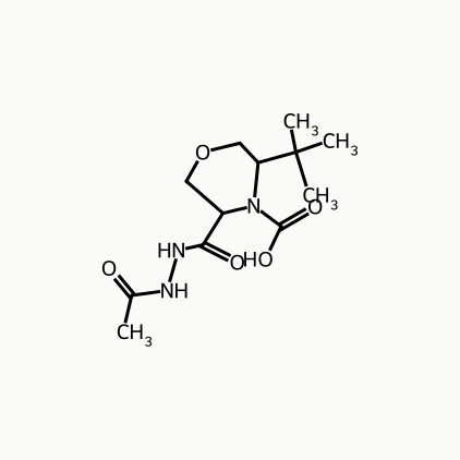 CC(=O)NNC(=O)C1COCC(C(C)(C)C)N1C(=O)O